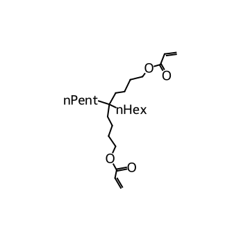 C=CC(=O)OCCCCC(CCCCC)(CCCCCC)CCCCOC(=O)C=C